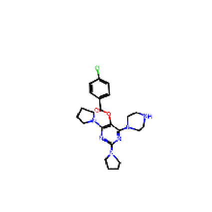 O=C(Oc1c(N2CCCC2)nc(N2CCCC2)nc1N1CCNCC1)c1ccc(Cl)cc1